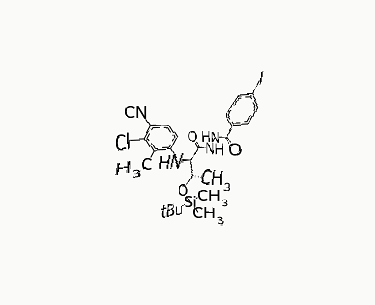 [C-]#[N+]c1ccc(N[C@@H](C(=O)NNC(=O)c2ccc(I)cc2)[C@H](C)O[Si](C)(C)C(C)(C)C)c(C)c1Cl